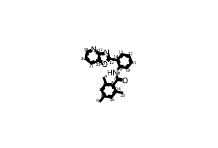 Cc1cc(C)c(C(=O)Nc2ccccc2-c2nc3ncccc3o2)c(C)c1